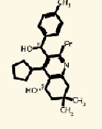 Cc1ccc([C@H](O)c2c(C(C)C)nc3c(c2C2CCCC2)[C@@H](O)CC(C)(C)C3)cc1